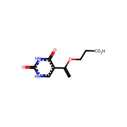 C=C(OCCC(=O)O)c1c[nH]c(=O)[nH]c1=O